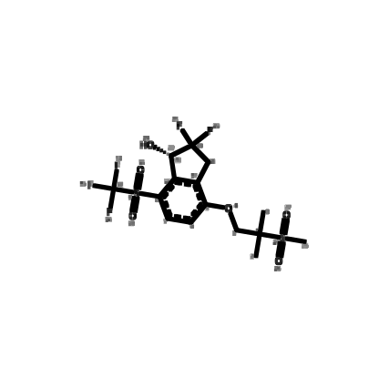 CC(C)(COc1ccc(S(=O)(=O)C(F)(F)F)c2c1CC(F)(F)[C@H]2O)S(C)(=O)=O